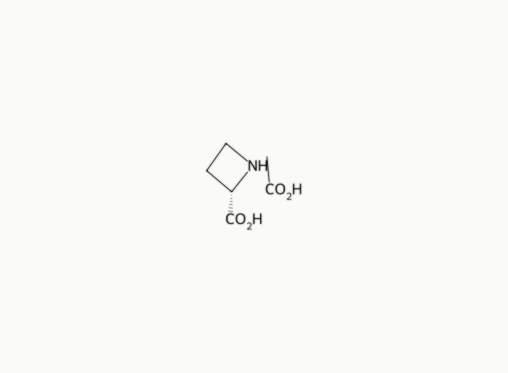 CC(=O)O.O=C(O)[C@@H]1CCN1